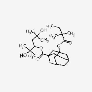 CCC(C)(C)C(=O)OC12CC3CC(C1)CC(C(=O)OC(CC(C)(C)O)C(C)(C)O)(C3)C2